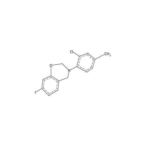 Cc1ccc(N2COc3cc(I)ccc3C2)c(Cl)c1